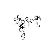 CC(C)c1ccc(NC(=O)c2cccc(S(=O)(=O)N3CCCC(CN4CCOCC4)C3)c2)cc1.O=C(OF)C(F)F